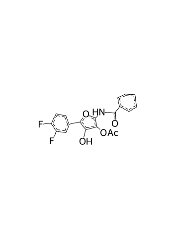 CC(=O)Oc1c(NC(=O)c2ccccc2)oc(-c2ccc(F)c(F)c2)c1O